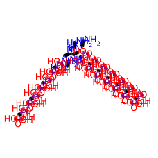 NCCNCCN.NCCNCCNCCN.O=P(O)(O)CP(=O)(O)O.O=P(O)(O)CP(=O)(O)O.O=P(O)(O)CP(=O)(O)O.O=P(O)(O)CP(=O)(O)O.O=P(O)(O)CP(=O)(O)O.O=P(O)(O)CP(=O)(O)O.O=P(O)(O)CP(=O)(O)O.O=P(O)(O)CP(=O)(O)O.O=P(O)(O)CP(=O)(O)O.O=P(O)(O)CP(=O)(O)O.O=P(O)(O)CP(=O)(O)O